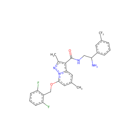 Cc1cc(OCc2c(F)cccc2F)n2nc(C)c(C(=O)NCC(N)c3cccc(C(F)(F)F)c3)c2c1